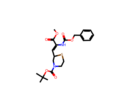 COC(=O)C(=CC1CN(C(=O)OC(C)(C)C)CCS1)NC(=O)OCc1ccccc1